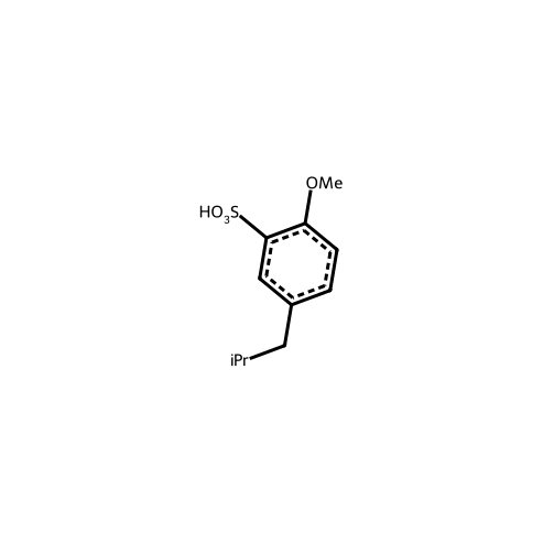 COc1ccc(CC(C)C)cc1S(=O)(=O)O